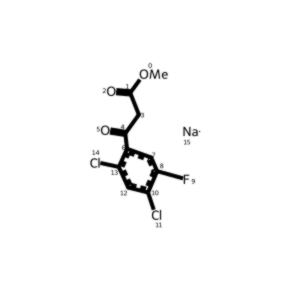 COC(=O)CC(=O)c1cc(F)c(Cl)cc1Cl.[Na]